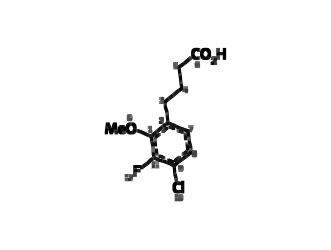 COc1c(CCCC(=O)O)ccc(Cl)c1F